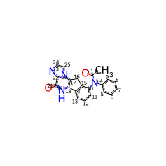 CC(=O)N(c1ccccc1)c1cccc2c1Cc1c-2[nH]c(=O)c2nccn12